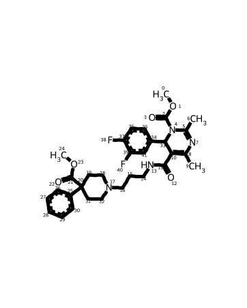 COC(=O)N1C(C)=NC(C)=C(C(=O)NCCCN2CCC(C(=O)OC)(c3ccccc3)CC2)C1c1ccc(F)c(F)c1